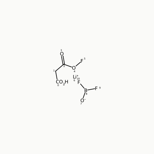 O=C(O)CC(=O)OF.[Li+].[O-]B(F)F